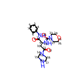 O=C(Nc1ccccc1)[C@H](CC(=O)N1CCNCC1)NC(=O)N1CCOCC1